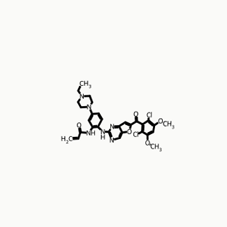 C=CC(=O)Nc1cc(N2CCN(CC)CC2)ccc1Nc1ncc2oc(C(=O)c3c(Cl)c(OC)cc(OC)c3Cl)cc2n1